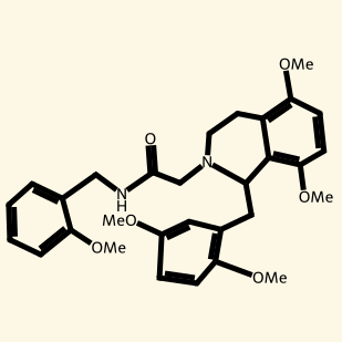 COc1ccc(OC)c(CC2c3c(OC)ccc(OC)c3CCN2CC(=O)NCc2ccccc2OC)c1